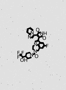 O=C1NC(=O)C(c2cnc3ccccn23)=C1c1cn2c3c(cc(F)cc13)CN(C(=O)N1CCC(C(O)C(F)(F)F)CC1)CC2